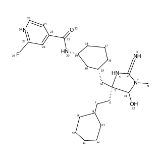 CN1C(=N)N[C@](CCC2CCCCC2)(C[C@H]2CCC[C@@H](NC(=O)c3ccnc(F)c3)C2)C1O